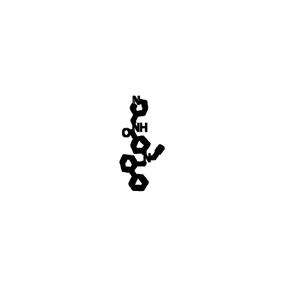 C#CCN(Cc1ccccc1-c1ccccc1)c1ccc(C(=O)NCc2cccnc2)cc1